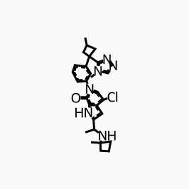 CC1CC(c2cccc(-n3cc(Cl)c4cc(C(C)NC5(C)CCC5)[nH]c4c3=O)c2)(c2nncn2C)C1